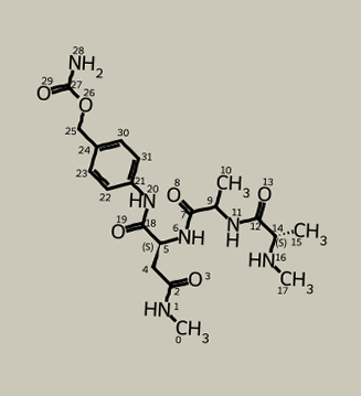 CNC(=O)C[C@H](NC(=O)C(C)NC(=O)[C@H](C)NC)C(=O)Nc1ccc(COC(N)=O)cc1